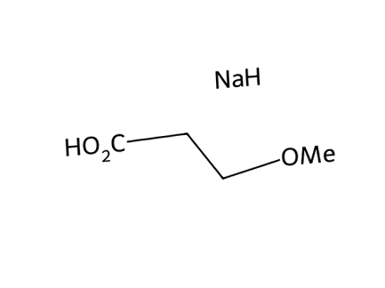 COCCC(=O)O.[NaH]